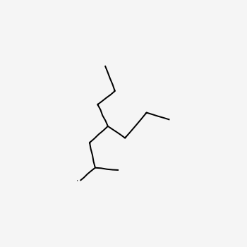 [CH2]C(C)CC(CCC)CCC